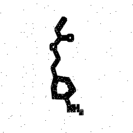 C=CC(=O)OCCc1ccc(N)cc1